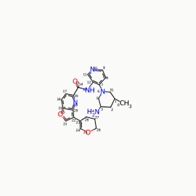 CC1CC(N)CN(c2ccncc2NC(=O)c2ccc3occ(C4=COCCC4)c3n2)C1